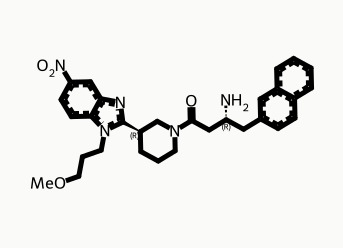 COCCCn1c([C@@H]2CCCN(C(=O)C[C@H](N)Cc3ccc4ccccc4c3)C2)nc2cc([N+](=O)[O-])ccc21